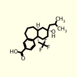 CC(C)C[C@@]1(O)CC[C@@]2(CC(F)(F)F)c3ccc(C(=O)O)cc3CCC[C@H]2C1